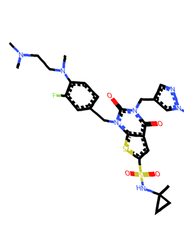 CN(C)CCN(C)c1ccc(Cn2c(=O)n(Cc3cnn(C)c3)c(=O)c3cc(S(=O)(=O)NC4(C)CC4)sc32)cc1F